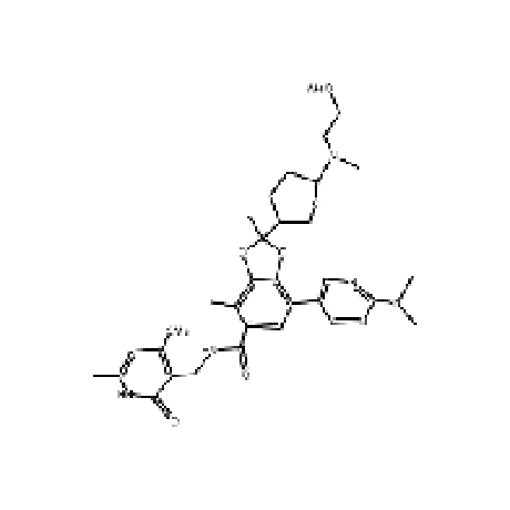 COCCN(C)C1CCC(C2(C)Oc3c(-c4cnc(N(C)C)nc4)cc(C(=O)NCc4c(SC)cc(C)[nH]c4=O)c(C)c3O2)CC1